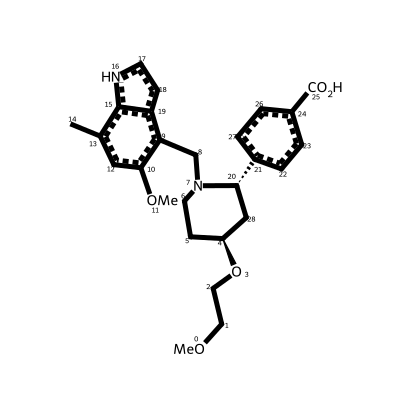 COCCO[C@H]1CCN(Cc2c(OC)cc(C)c3[nH]ccc23)[C@H](c2ccc(C(=O)O)cc2)C1